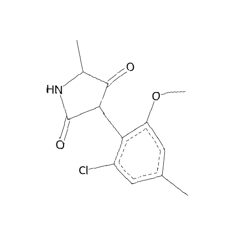 COc1cc(C)cc(Cl)c1C1C(=O)NC(C)C1=O